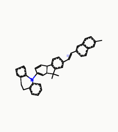 Cc1ccc2cc(/C=C/c3ccc4c(c3)C(C)(C)C3C=C(N5c6ccccc6CCc6ccccc65)C=CC43)ccc2c1